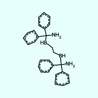 NC(BCCBC(N)(c1ccccc1)c1ccccc1)(c1ccccc1)c1ccccc1